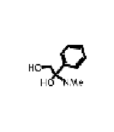 CNC(O)(CO)c1ccccc1